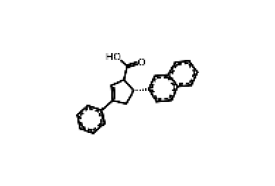 O=C(O)C1C=C(c2ccccc2)C[C@H]1c1ccc2ccccc2c1